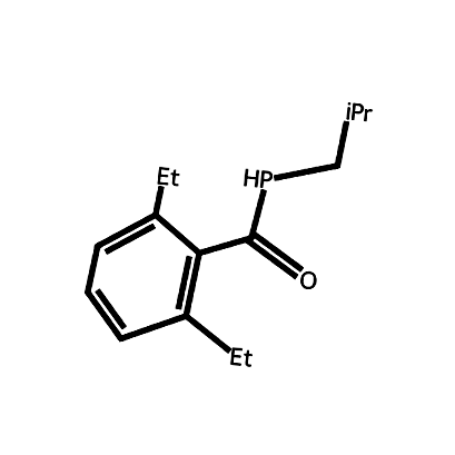 CCc1cccc(CC)c1C(=O)PCC(C)C